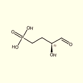 O=C[C@@H](O)CCP(=O)(O)O